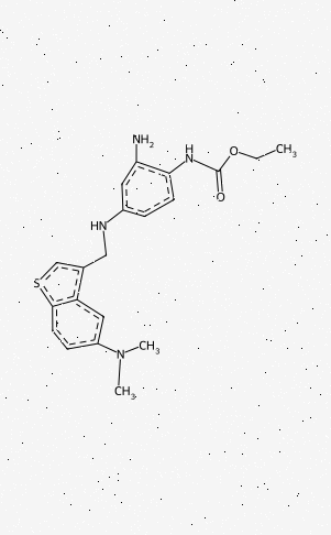 CCOC(=O)Nc1ccc(NCc2csc3ccc(N(C)C)cc23)cc1N